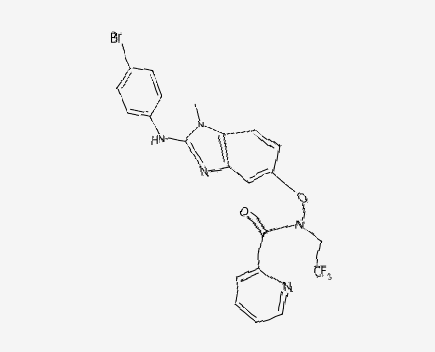 Cn1c(Nc2ccc(Br)cc2)nc2cc(ON(CC(F)(F)F)C(=O)c3ccccn3)ccc21